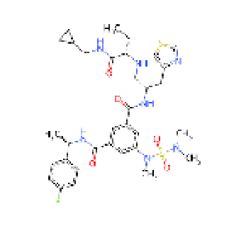 CC[C@H](NC[C@H](Cc1cscn1)NC(=O)c1cc(C(=O)N[C@H](C)c2ccc(F)cc2)cc(N(C)S(=O)(=O)N(C)C)c1)C(=O)NCC1CC1